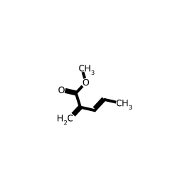 C=C(C=CC)C(=O)OC